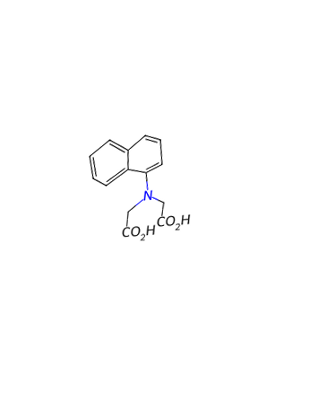 O=C(O)CN(CC(=O)O)c1cccc2ccccc12